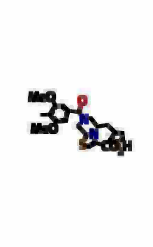 COc1cc(C(=O)N(CCCc2ccsc2)Cc2nc(C(=O)O)cs2)cc(OC)c1C